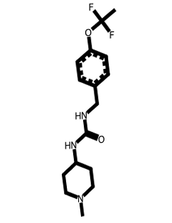 CN1CCC(NC(=O)NCc2ccc(OC(C)(F)F)cc2)CC1